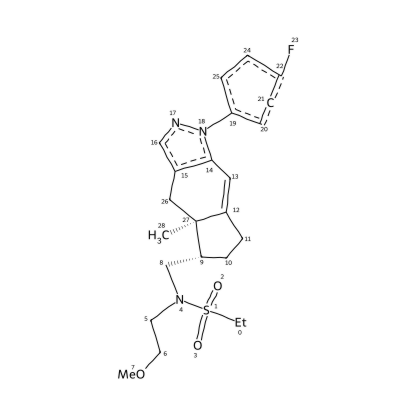 CCS(=O)(=O)N(CCOC)C[C@H]1CCC2=Cc3c(cnn3-c3ccc(F)cc3)C[C@@]21C